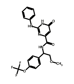 COCC(NC(=O)c1cc(=O)[nH]c(Nc2ccccc2)n1)c1ccc(OC(F)(F)F)cc1